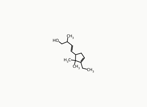 CCC1=CCC(/C=C/C(C)CO)C1(C)C